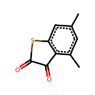 Cc1cc(C)c2c(c1)SC(=O)C2=O